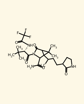 CC(CCC1CCNC1=O)C12C(C(N)=O)N(C(=O)[C@@H](NC(=O)C(F)(F)F)C(C)(C)C)C(=O)C1C2(C)C